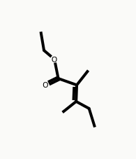 CCOC(=O)/C(C)=C(\C)CC